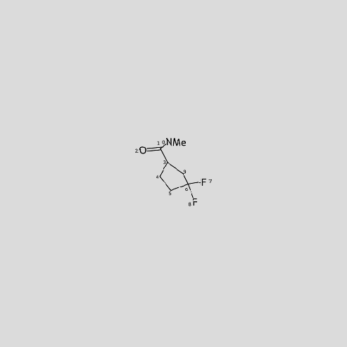 CNC(=O)C1CCC(F)(F)C1